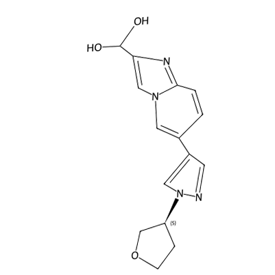 OC(O)c1cn2cc(-c3cnn([C@H]4CCOC4)c3)ccc2n1